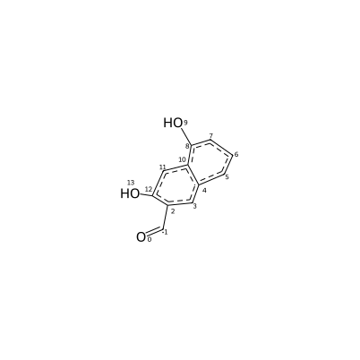 O=[C]c1cc2cccc(O)c2cc1O